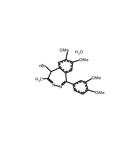 CCCCC1C(C)=NN=C(c2ccc(OC)c(OC)c2)c2cc(OC)c(OC)cc21.O